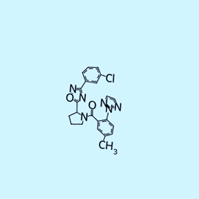 Cc1ccc(-n2nccn2)c(C(=O)N2CCCC2c2nc(-c3cccc(Cl)c3)no2)c1